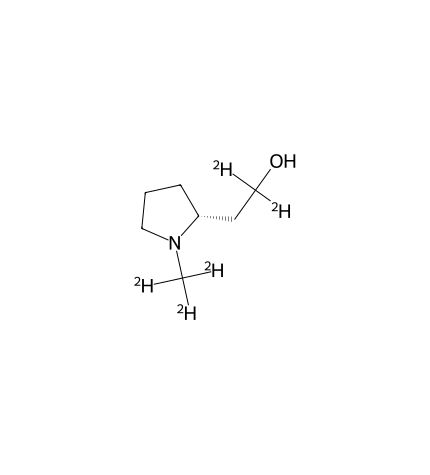 [2H]C([2H])(O)C[C@H]1CCCN1C([2H])([2H])[2H]